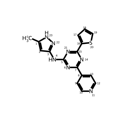 Cc1cc(Nc2nc(-c3ccncc3)nc(-c3cccs3)n2)n[nH]1